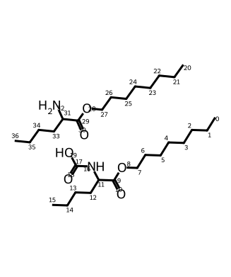 CCCCCCCCOC(=O)C(CCCC)NC(=O)O.CCCCCCCCOC(=O)C(N)CCCC